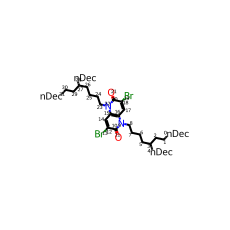 CCCCCCCCCCCCC(CCCCCCCCCC)CCCCn1c(=O)c(Br)cc2c1cc(Br)c(=O)n2CCCCC(CCCCCCCCCC)CCCCCCCCCCCC